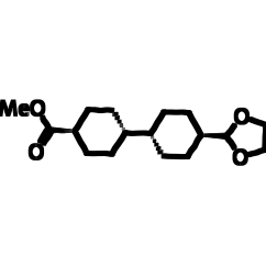 COC(=O)[C@H]1CC[C@H]([C@H]2CC[C@H](C3OCCO3)CC2)CC1